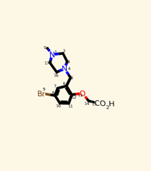 CN1CCN(Cc2cc(Br)ccc2OCC(=O)O)CC1